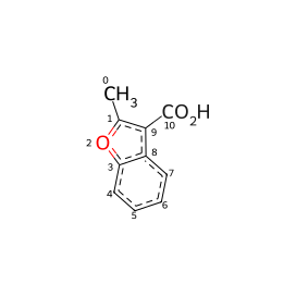 Cc1oc2ccccc2c1C(=O)O